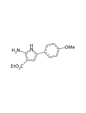 CCOC(=O)c1cc(-c2ccc(OC)cc2)[nH]c1N